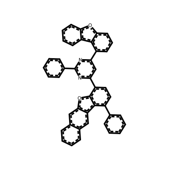 c1ccc(-c2nc(-c3ccc(-c4ccccc4)c4c3oc3cc5ccccc5cc34)cc(-c3cccc4oc5ccccc5c34)n2)cc1